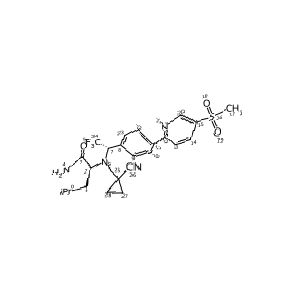 CC(C)C[C@@H](C(N)=O)N([C@@H](c1ccc(-c2ccc(S(C)(=O)=O)cn2)cc1)C(F)(F)F)C1(C#N)CC1